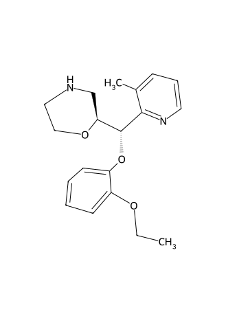 CCOc1ccccc1O[C@@H](c1ncccc1C)[C@@H]1CNCCO1